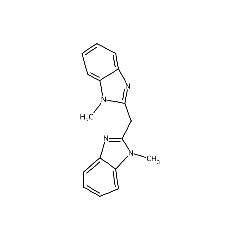 Cn1c(Cc2nc3ccccc3n2C)nc2ccccc21